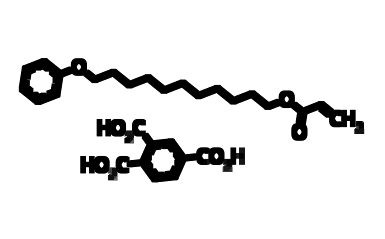 C=CC(=O)OCCCCCCCCCCCOc1ccccc1.O=C(O)c1ccc(C(=O)O)c(C(=O)O)c1